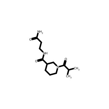 C[C](C)C(=O)N1CCCC(C(=O)NCCC(N)=O)C1